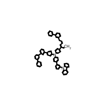 C=C/C(=C\C=C/Cc1cccc(-c2ccccc2)c1)c1ccc(N(c2ccc(-c3cccc(-c4cccc(-c5ccccc5)c4)c3)cc2)c2ccc(-c3cccc(-n4c5ccccc5c5ccccc54)c3)cc2)cc1